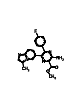 COC(=O)c1nc(-c2ccc3ncc(C)n3c2)c(-c2ccc(F)cc2)nc1N